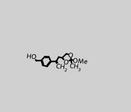 C=C(CC1COC(C)(OC)O1)c1ccc(CO)cc1